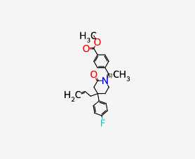 C=CCC1(c2ccc(F)cc2)CCN([C@@H](C)c2ccc(C(=O)OC)cc2)C(=O)C1